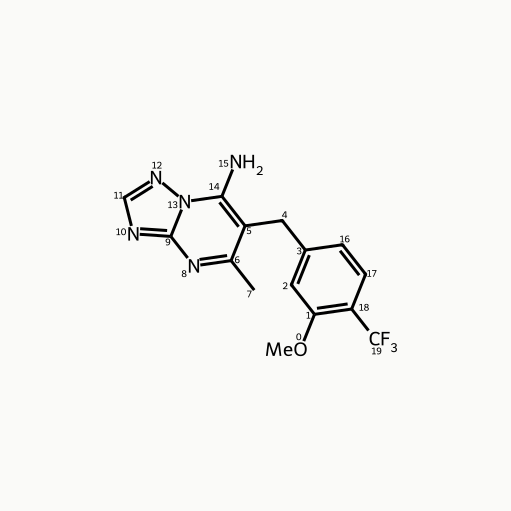 COc1cc(Cc2c(C)nc3ncnn3c2N)ccc1C(F)(F)F